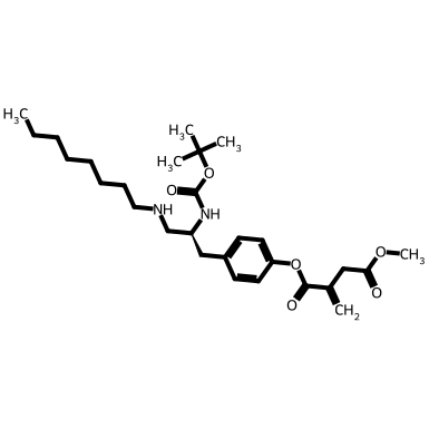 C=C(CC(=O)OC)C(=O)Oc1ccc(C[C@@H](CNCCCCCCCC)NC(=O)OC(C)(C)C)cc1